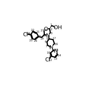 OC[C@H]1CN(C2CCN(c3cc(Cl)ccn3)CC2)C(Cc2ccc(Cl)cc2)CO1